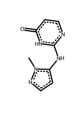 Cn1nccc1Nc1nccc(=O)[nH]1